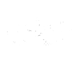 CN[C@H](c1ccc(F)c(F)c1)[C@H]1O[C@@H](n2ccc3c(C)ncnc32)[C@H](O)[C@@H]1O